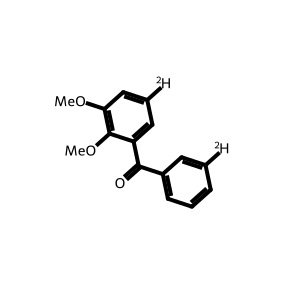 [2H]c1cccc(C(=O)c2cc([2H])cc(OC)c2OC)c1